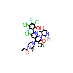 C=CC(=O)N1CCN(c2c(C#N)c(=O)n(C3C(C(C)C)=NC=CC3C)c3nc(-c4c(O)c(Cl)c(F)c(Cl)c4F)c(Cl)cc23)C[C@H]1C